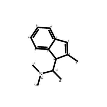 CC1=Cc2ccccc2C1C(C)N(C)C